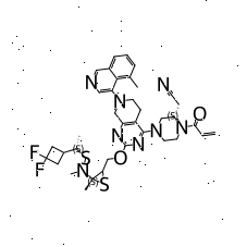 C=CC(=O)N1CCN(c2nc(OCC3S[C@]3(C)N(C)S[C@@H](C)C3CC(F)(F)C3)nc3c2CCN(c2cncc4cccc(C)c24)C3)C[C@@H]1CC#N